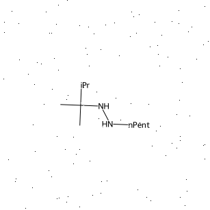 CCCCCNNC(C)(C)C(C)C